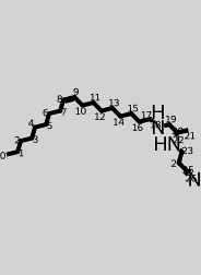 CCCCCCCC/C=C\CCCCCCCCNCC(C)NCCC#N